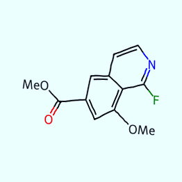 COC(=O)c1cc(OC)c2c(F)nccc2c1